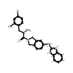 N[C@H](Cc1ccc(Cl)cc1Cl)C(=O)N1Cc2ccc(Nc3nc4ccccc4o3)cc2C1